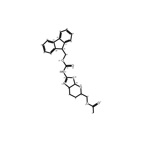 CC(=O)OCC1[CH][CH]C2N=C(NC(=O)OCC3c4ccccc4-c4ccccc43)SC2O1